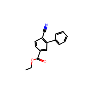 CCOC(=O)c1ccc(C#N)c(-c2ccccc2)c1